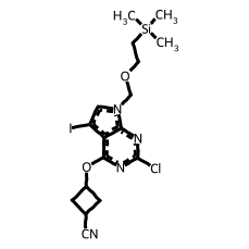 C[Si](C)(C)CCOCn1cc(I)c2c(OC3CC(C#N)C3)nc(Cl)nc21